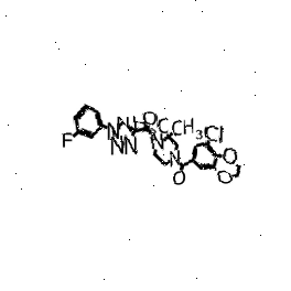 CC1(C)CN(C(=O)c2cc(Cl)c3c(c2)OCCO3)CCN1C(=O)c1nnn(-c2cccc(F)c2)n1